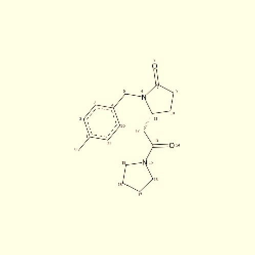 Cc1ccc(CN2C(=O)CC[C@@H]2CC(=O)N2CCCC2)cc1